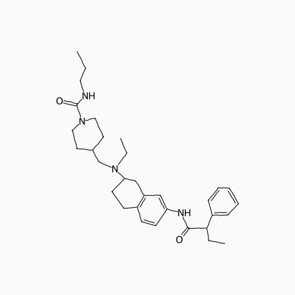 CCCNC(=O)N1CCC(CN(CC)C2CCc3ccc(NC(=O)C(CC)c4ccccc4)cc3C2)CC1